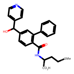 CSCCC(NC(=O)c1ccc(C(O)c2ccncc2)cc1-c1ccccc1)C(=O)O